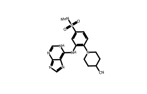 CNS(=O)(=O)c1ccc(N2CCC(C#N)CC2)c(Nc2[nH]cnc3ncnc2-3)c1